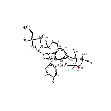 CCC(C)(O)C(=O)N1CC[C@@]2(S(=O)(=O)c3ccc(F)cc3)c3ccc(C(F)(C(F)(F)F)C(F)(F)F)cc3CC[C@@H]12